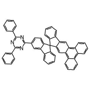 c1ccc(-c2nc(-c3ccccc3)nc(-c3ccc4c(c3)-c3ccccc3C43c4ccccc4-c4cc5c6ccccc6c6ccccc6c5cc43)n2)cc1